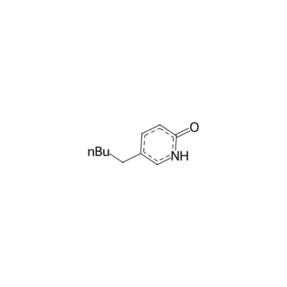 CCCCCc1ccc(=O)[nH]c1